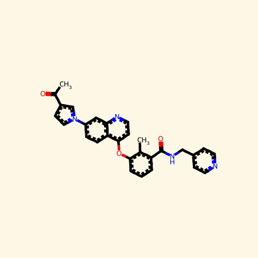 CC(=O)c1ccn(-c2ccc3c(Oc4cccc(C(=O)NCc5ccncc5)c4C)ccnc3c2)c1